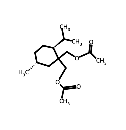 CC(=O)OCC1(COC(C)=O)C[C@H](C)CC[C@H]1C(C)C